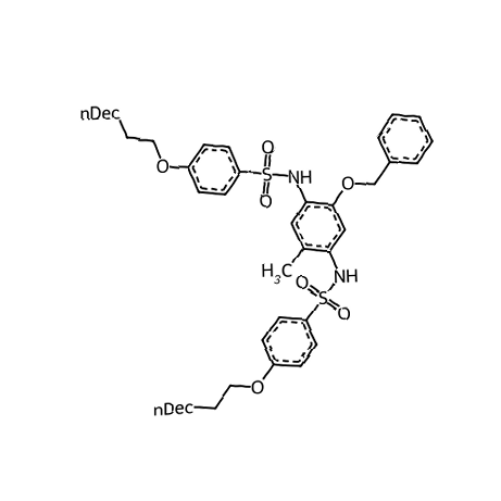 CCCCCCCCCCCCOc1ccc(S(=O)(=O)Nc2cc(OCc3ccccc3)c(NS(=O)(=O)c3ccc(OCCCCCCCCCCCC)cc3)cc2C)cc1